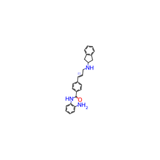 Nc1ccccc1NC(=O)c1ccc(/C=C/CNC2Cc3ccccc3C2)cc1